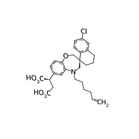 C=CCCCCN1C[C@@]2(CCCc3cc(Cl)ccc32)COc2ccc([C@@H](CC(=O)O)C(=O)O)cc21